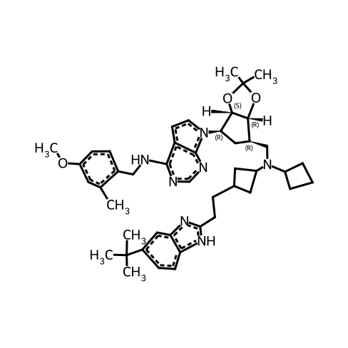 COc1ccc(CNc2ncnc3c2ccn3[C@@H]2C[C@H](CN(C3CCC3)C3CC(CCc4nc5cc(C(C)(C)C)ccc5[nH]4)C3)[C@H]3OC(C)(C)O[C@H]32)c(C)c1